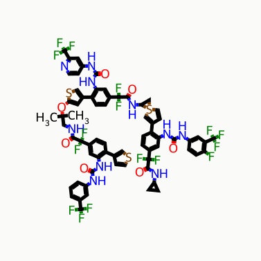 CC(C)(CNC(=O)C(F)(F)c1ccc(-c2ccsc2)c(NC(=O)Nc2cccc(C(F)(F)F)c2)c1)Oc1cc(-c2ccc(C(F)(F)C(=O)NC3CS34C=CC(c3ccc(C(F)(F)C(=O)NC5CC5)cc3NC(=O)Nc3ccc(F)c(C(F)(F)F)c3)=C4)cc2NC(=O)Nc2ccnc(C(F)(F)F)c2)cs1